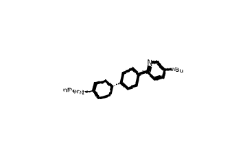 CCCCC[C@H]1CC[C@H](C2CCC(c3ccc(CCCC)cn3)CC2)CC1